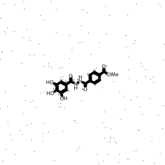 COC(=O)c1ccc(C(=O)NNC(=O)c2cc(O)c(O)c(O)c2)cc1